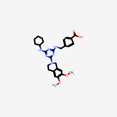 COc1cc2c(cc1OC)CN(c1nc(NCc3ccc(C(=O)O)cc3)nc(NC3CCCCC3)n1)CC2